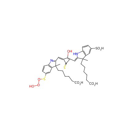 CC1(CCCCCC(=O)O)C(C=C2C(=S)C(C=C3Nc4ccc(S(=O)(=O)O)cc4C3(C)CCCCCC(=O)O)=C2O)=Nc2ccc(SOOO)cc21